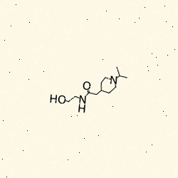 CC(C)N1CCC(CC(=O)NCCO)CC1